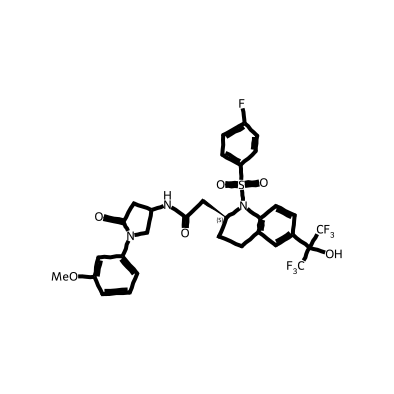 COc1cccc(N2CC(NC(=O)C[C@@H]3CCc4cc(C(O)(C(F)(F)F)C(F)(F)F)ccc4N3S(=O)(=O)c3ccc(F)cc3)CC2=O)c1